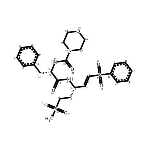 CS(=O)(=O)CC[C@@H](/C=C/S(=O)(=O)c1ccccc1)NC(=O)[C@H](Cc1ccccc1)NC(=O)N1CCOCC1